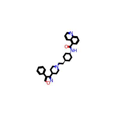 O=C(N[C@H]1CC[C@H](CCN2CCC(c3nocc3-c3ccccc3)CC2)CC1)c1cccc2ncccc12